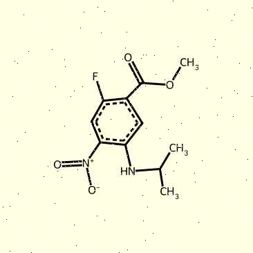 COC(=O)c1cc(NC(C)C)c([N+](=O)[O-])cc1F